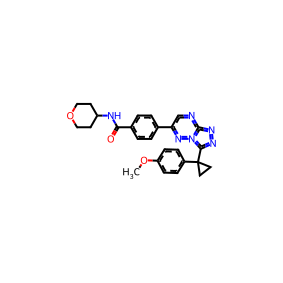 COc1ccc(C2(c3nnc4ncc(-c5ccc(C(=O)NC6CCOCC6)cc5)nn34)CC2)cc1